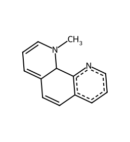 CN1C=CC=C2C=Cc3cccnc3C21